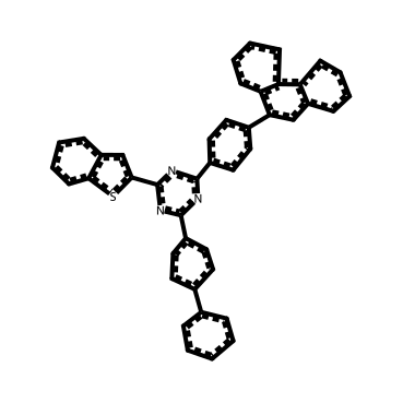 c1ccc(-c2ccc(-c3nc(-c4ccc(-c5cc6ccccc6c6ccccc56)cc4)nc(-c4cc5ccccc5s4)n3)cc2)cc1